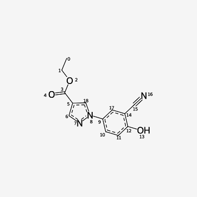 CCOC(=O)c1cnn(-c2ccc(O)c(C#N)c2)c1